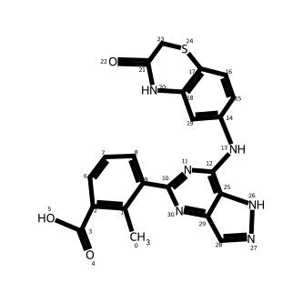 Cc1c(C(=O)O)cccc1-c1nc(Nc2ccc3c(c2)NC(=O)CS3)c2[nH]ncc2n1